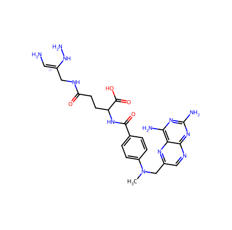 CN(Cc1cnc2nc(N)nc(N)c2n1)c1ccc(C(=O)NC(CCC(=O)NC/C(=C/N)NN)C(=O)O)cc1